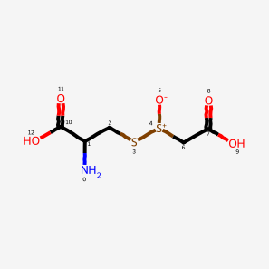 NC(CS[S+]([O-])CC(=O)O)C(=O)O